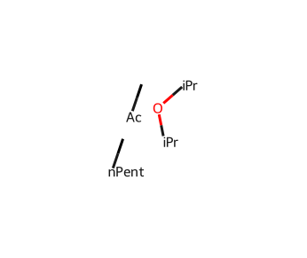 CC(C)=O.CC(C)OC(C)C.CCCCCC